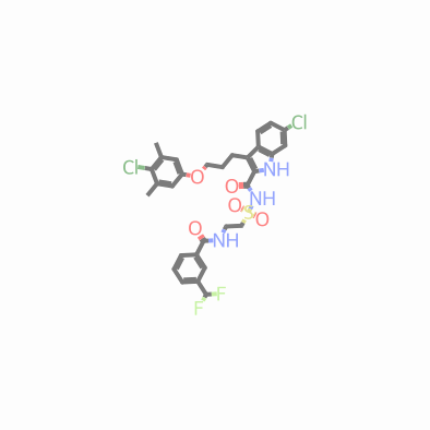 Cc1cc(OCCCc2c(C(=O)NS(=O)(=O)CCNC(=O)c3cccc(C(F)F)c3)[nH]c3cc(Cl)ccc23)cc(C)c1Cl